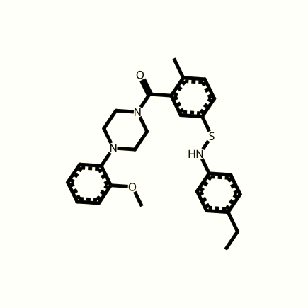 CCc1ccc(NSc2ccc(C)c(C(=O)N3CCN(c4ccccc4OC)CC3)c2)cc1